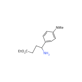 CCOC(=O)CCC(N)c1ccc(NC)cc1